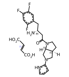 N[C@@H](CC(=O)N1CC[C@H]2CN(c3ccc[nH]3)C[C@H]21)Cc1cc(F)c(F)cc1F.O=C(O)/C=C/C(=O)O